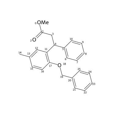 COC(=O)CC(c1ccccc1)c1cc(C)ccc1OCc1ccccc1